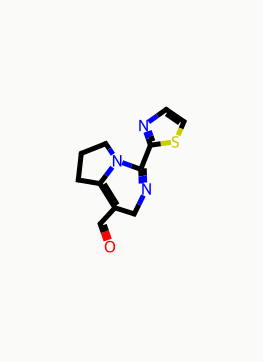 O=CC1=C2CCCN2C(c2nccs2)=NC1